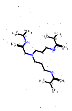 C=C(CN(CCCNC(=C)C(C)C)CCCNC(=C)C(C)C)NC(C)C